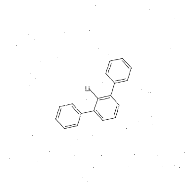 [Li][c]1c(-c2ccccc2)cccc1-c1ccccc1